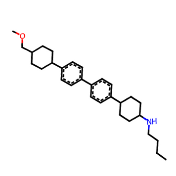 CCCCNC1CCC(c2ccc(-c3ccc(C4CCC(COC)CC4)cc3)cc2)CC1